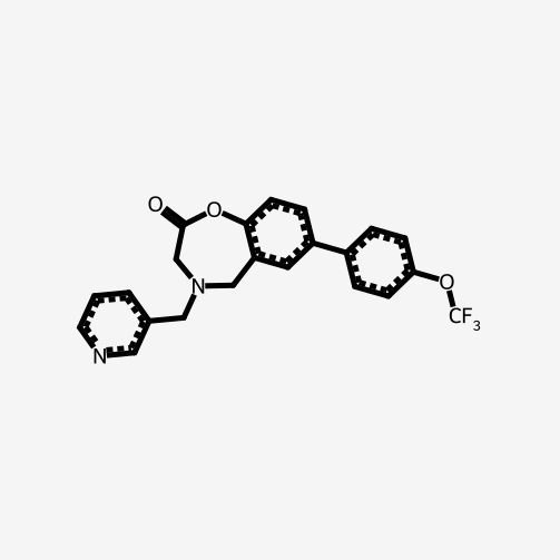 O=C1CN(Cc2cccnc2)Cc2cc(-c3ccc(OC(F)(F)F)cc3)ccc2O1